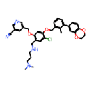 Cc1c(COc2cc(OCc3cncc(C#N)c3)c(CNCCCN(C)C)cc2Cl)cccc1-c1ccc2c(c1)OCCO2